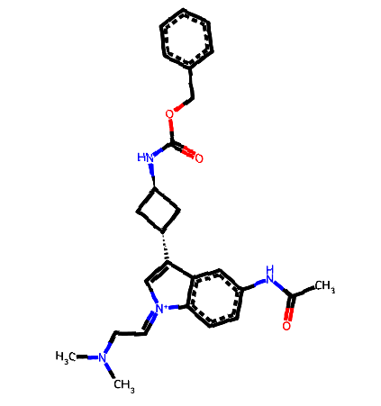 CC(=O)Nc1ccc2c(c1)C([C@H]1C[C@H](NC(=O)OCc3ccccc3)C1)=C[N+]2=CCN(C)C